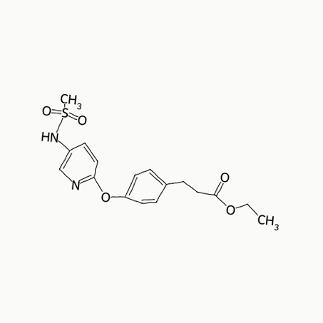 CCOC(=O)CCc1ccc(Oc2ccc(NS(C)(=O)=O)cn2)cc1